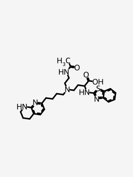 CC(=O)NCCN(CCCCc1ccc2c(n1)NCCC2)CCC(Nc1nc2ccccc2s1)C(=O)O